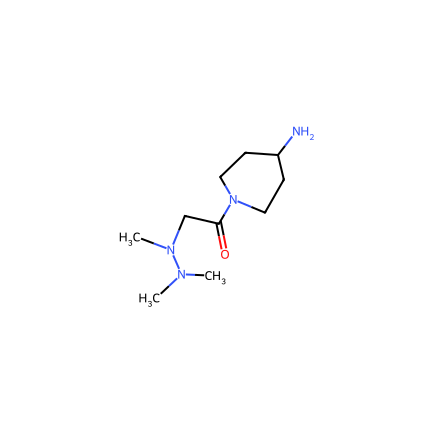 CN(C)N(C)CC(=O)N1CCC(N)CC1